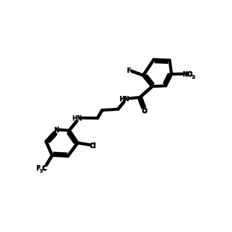 O=C(NCCCNc1ncc(C(F)(F)F)cc1Cl)c1cc([N+](=O)[O-])ccc1F